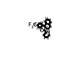 O=C(c1ccccn1)N1CCc2ccccc2[C@H]1c1ccc(C(F)(F)F)cc1